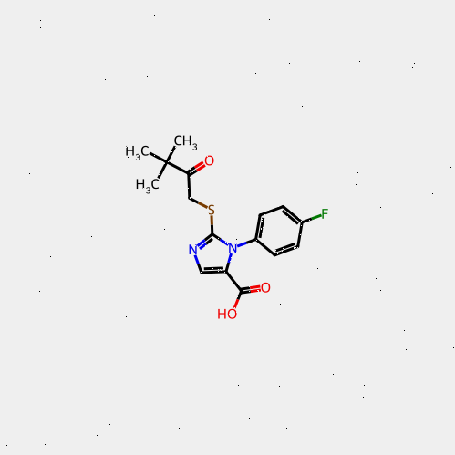 CC(C)(C)C(=O)CSc1ncc(C(=O)O)n1-c1ccc(F)cc1